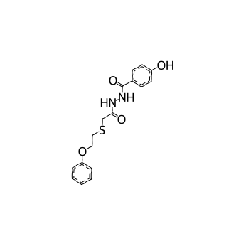 O=C(CSCCOc1ccccc1)NNC(=O)c1ccc(O)cc1